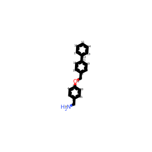 NCc1ccc(OCc2ccc(-c3ccccc3)cc2)cc1